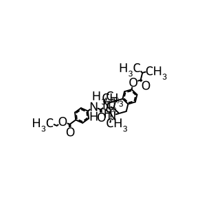 CCOC(=O)c1ccc(NC(=O)N(C)[C@@H]2C3Cc4ccc(OC(=O)C(C)C)cc4[C@@]2(C)CCN3C)cc1